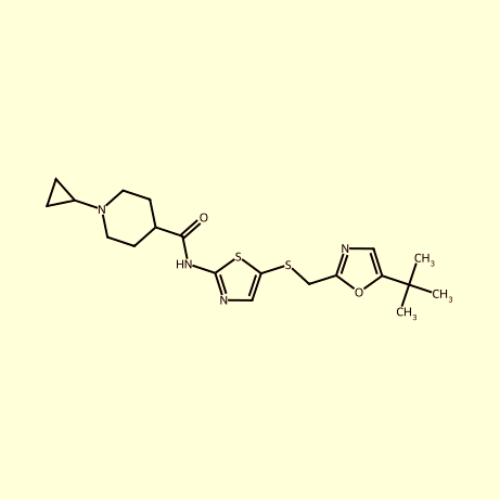 CC(C)(C)c1cnc(CSc2cnc(NC(=O)C3CCN(C4CC4)CC3)s2)o1